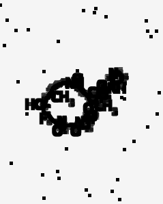 CC1=C\[C@@H](O)C[C@@H](F)Cc2nc(co2)C(=O)N2CCC[C@@H]2C(=O)O[C@H]([C@@H](C)COC(=O)Nc2cccnc2)[C@H](C)/C=C/C(=O)NC\C=C\1